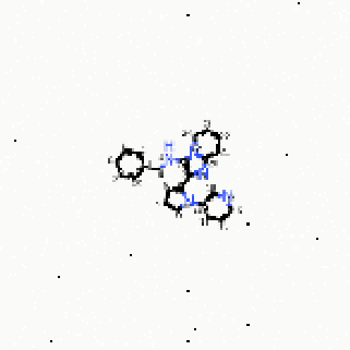 c1ccc(CNc2c(-c3cccn3-c3cccnc3)nc3ccccn23)cc1